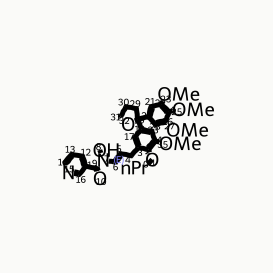 CCCOc1c(C/C=C/N(O)C(=O)c2cccnc2)cc(C2(c3cc(OC)c(OC)c(OC)c3)CCCO2)cc1OC